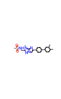 Cc1ccc(-c2ccc(-c3cn4nc(CNS(C)(=O)=O)n(C)c4n3)cc2)cc1C